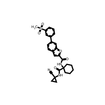 CS(=O)(=O)c1cccc(-c2ccc3cc(C(=O)NC4(C(=O)NC5(C#N)CC5)CCCCC4)oc3c2)c1